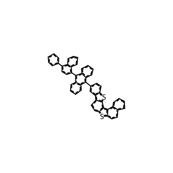 c1ccc(-c2ccc(-c3c4ccccc4c(-c4ccc5sc6c(ccc7sc8ccc9ccccc9c8c76)c5c4)c4ccccc34)c3ccccc23)cc1